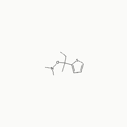 CCC(C)(ON(C)C)c1cccs1